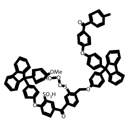 COc1ccc(C2(c3ccc(Oc4ccc(C(=O)c5ccc(COc6ccc(C7(c8ccc(Oc9ccc(C(=O)c%10ccc(C)cc%10)cc9)cc8)c8ccccc8-c8ccccc87)cc6)c(SOOO)c5)cc4S(=O)(=O)O)cc3)c3ccccc3-c3ccccc32)cc1